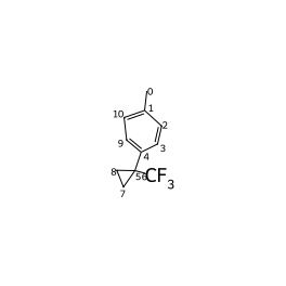 Cc1ccc(C2(C(F)(F)F)CC2)cc1